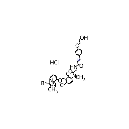 Cc1nc2c(OCc3c(Cl)ccc(N(C)C(=O)CNC(=O)/C=C/c4ccc(OCCO)cc4)c3Cl)cccn2c1Br.Cl